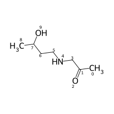 CC(=O)CNCCC(C)O